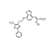 CCOC(=Cc1ccc(OCCc2nc(-c3ccccc3)oc2C)c2sccc12)C(=O)O